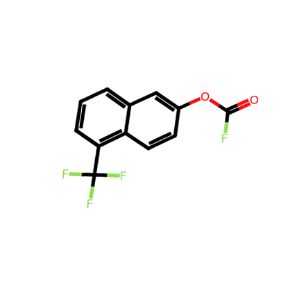 O=C(F)Oc1ccc2c(C(F)(F)F)cccc2c1